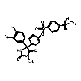 CCC(C)(C)c1ccc(S(=O)(=O)Oc2ccc(C3(c4ccc(F)c(Br)c4)NC(=S)N(C)C3=O)cc2)cc1